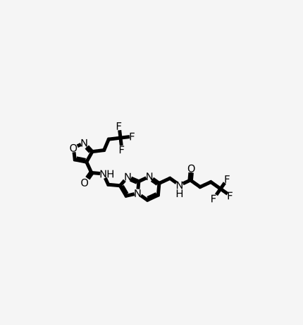 O=C(CCC(F)(F)F)NCc1ccn2cc(CNC(=O)c3conc3CCC(F)(F)F)nc2n1